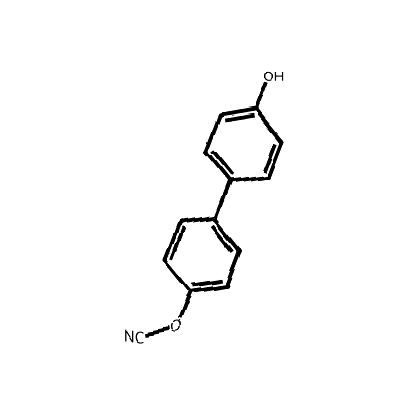 N#COc1ccc(-c2ccc(O)cc2)cc1